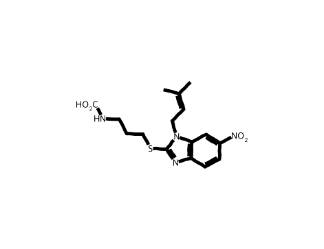 CC(C)=CCn1c(SCCCNC(=O)O)nc2ccc([N+](=O)[O-])cc21